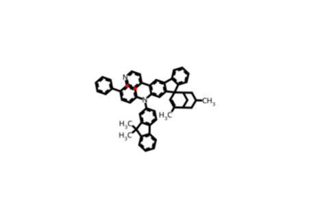 CC1=CC2(c3ccccc3-c3cc(-c4ccncc4)c(N(c4ccc(-c5ccccc5)cc4)c4ccc5c(c4)C(C)(C)c4ccccc4-5)cc32)C2CC(C)CC1C2